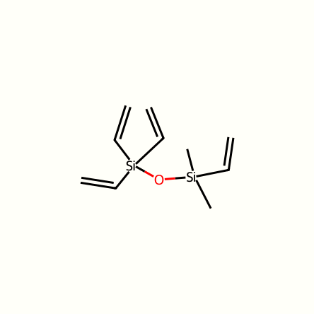 C=C[Si](C)(C)O[Si](C=C)(C=C)C=C